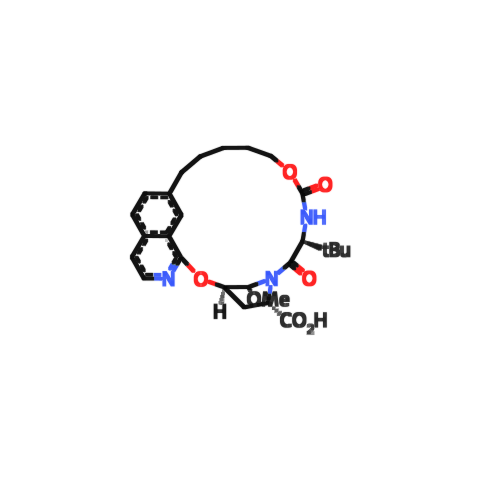 COC1[C@H]2C[C@@H](C(=O)O)N1C(=O)[C@H](C(C)(C)C)NC(=O)OCCCCCc1ccc3ccnc(c3c1)O2